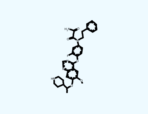 COc1cc2c(Oc3ccc(N(CCc4ccccc4)C(=O)C(N)=O)cc3F)ncnc2cc1OC(C)C1CCNCC1